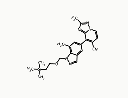 Cc1cc(-c2c(C#N)ccn3nc(C(F)(F)F)nc23)cc2cnn(COCC[Si](C)(C)C)c12